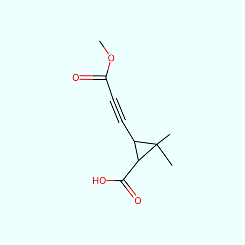 COC(=O)C#CC1C(C(=O)O)C1(C)C